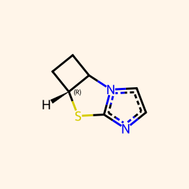 c1cn2c(n1)S[C@@H]1CCC12